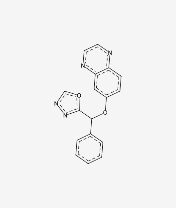 c1ccc(C(Oc2ccc3nccnc3c2)c2nnco2)cc1